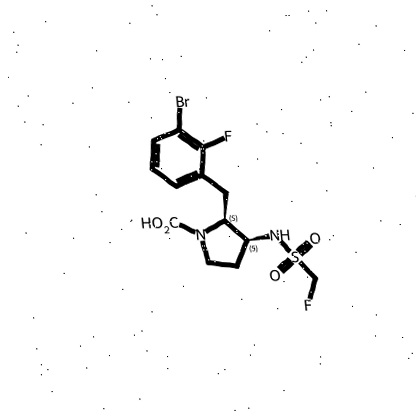 O=C(O)N1CC[C@H](NS(=O)(=O)CF)[C@@H]1Cc1cccc(Br)c1F